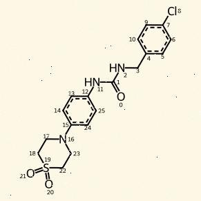 O=C(NCc1ccc(Cl)cc1)Nc1ccc(N2CCS(=O)(=O)CC2)cc1